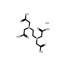 O=C(O)CN(CCN(CC(=O)O)CC(=O)O)CC(=O)O.[Gd]